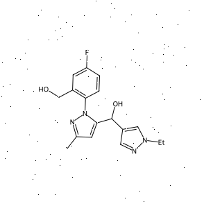 CCn1cc(C(O)c2cc(C)nn2-c2ccc(F)cc2CO)cn1